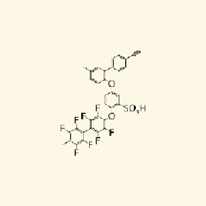 C#Cc1ccc(-c2cc(C)ccc2Oc2ccc(Oc3c(F)c(F)c(-c4c(F)c(F)c(C)c(F)c4F)c(F)c3F)c(S(=O)(=O)O)c2)cc1